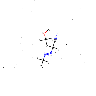 COC(C)(C)CC(C)(C#N)/N=N/C(C)(C)C